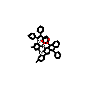 Cc1cc2c3c(c1)-n1c4cc(C)ccc4c4cc5c(-c6ccccc6)c6ccccc6c(-c6ccccc6)c5c(c41)B3c1cccc3c(-c4ccccc4)c(-c4ccccc4)n-2c13